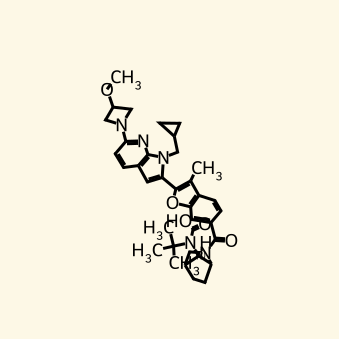 COC1CN(c2ccc3cc(-c4oc5cc(C(=O)N6CC7CCC6[C@@H]7N(C(=O)O)C(C)(C)C)ccc5c4C)n(CC4CC4)c3n2)C1